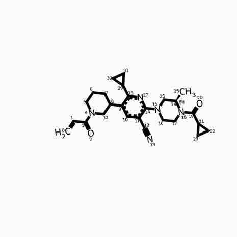 C=CC(=O)N1CCCC(c2cc(C#N)c(N3CCN(C(=O)C4CC4)[C@H](C)C3)nc2C2CC2)C1